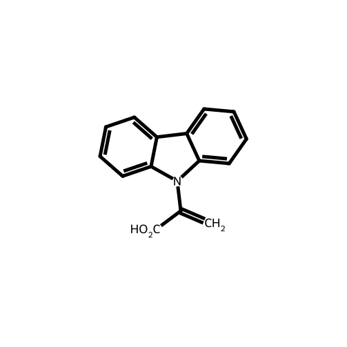 C=C(C(=O)O)n1c2ccccc2c2ccccc21